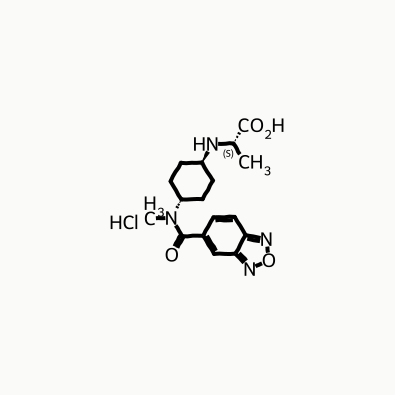 C[C@H](N[C@H]1CC[C@H](N(C)C(=O)c2ccc3nonc3c2)CC1)C(=O)O.Cl